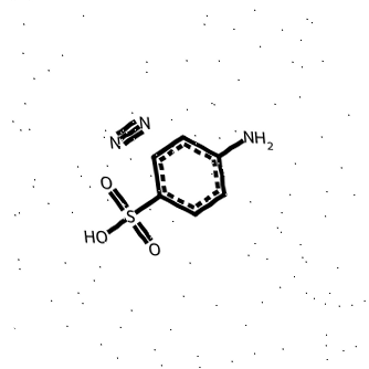 N#N.Nc1ccc(S(=O)(=O)O)cc1